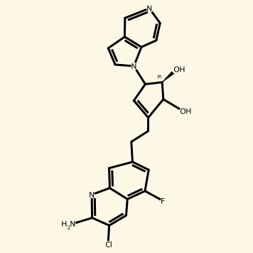 Nc1nc2cc(CCC3=CC(n4ccc5cnccc54)[C@@H](O)C3O)cc(F)c2cc1Cl